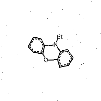 [CH2]CN1c2ccccc2Oc2ccccc21